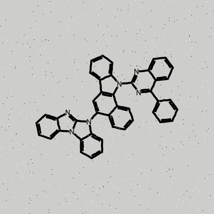 c1ccc(-c2nc(-n3c4ccccc4c4cc(-n5c6ccccc6n6c7ccccc7nc56)c5ccccc5c43)nc3ccccc23)cc1